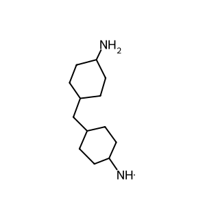 [NH]C1CCC(CC2CCC(N)CC2)CC1